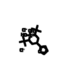 CC(C)(C)[CH]1CC(c2ccco2)C[CH](C(C)(C)C)[Ti+2]1([OH])[OH].[Cl-].[Cl-]